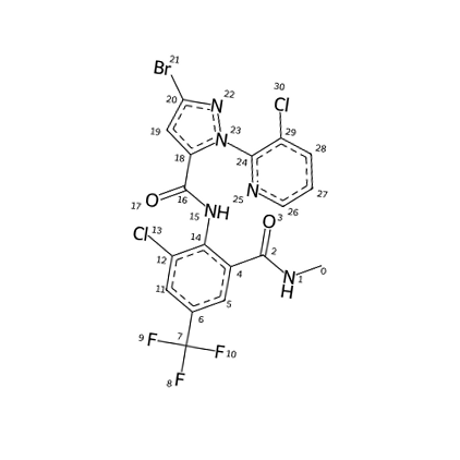 CNC(=O)c1cc(C(F)(F)F)cc(Cl)c1NC(=O)c1cc(Br)nn1-c1ncccc1Cl